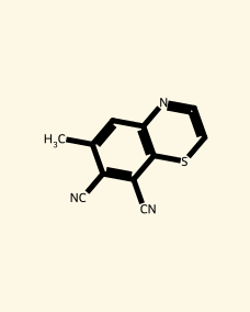 Cc1cc2c(c(C#N)c1C#N)SC=C=N2